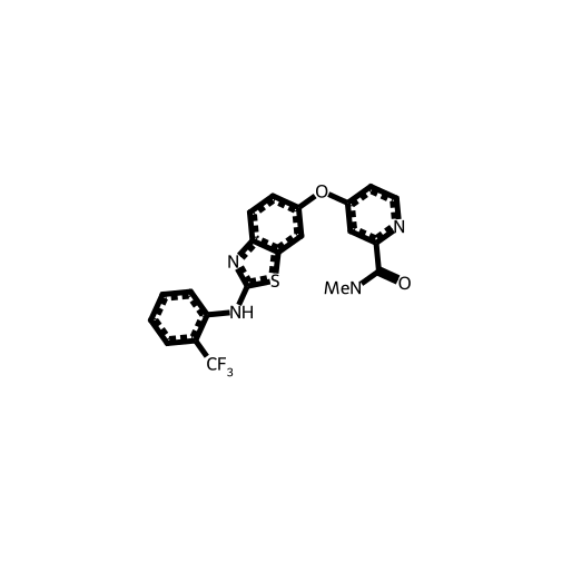 CNC(=O)c1cc(Oc2ccc3nc(Nc4ccccc4C(F)(F)F)sc3c2)ccn1